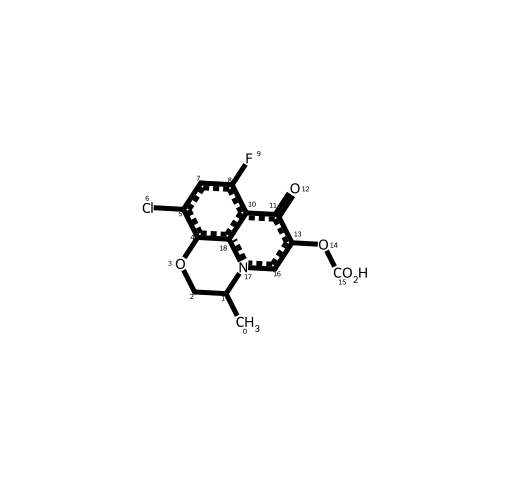 CC1COc2c(Cl)cc(F)c3c(=O)c(OC(=O)O)cn1c23